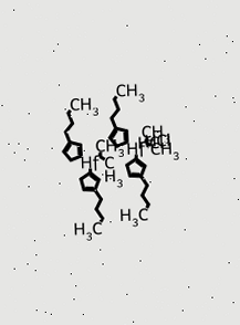 CCCCC1=CC[C]([Hf]([C]2=CC(CCCC)=CC2)=[C](C)C)=C1.CCCCC1=CC[C]([Hf]([C]2=CC(CCCC)=CC2)=[C](C)C)=C1.Cl.Cl